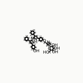 OCC1OC(n2cc(COc3ccc(C4=NC(=Nc5[nH]c(-c6ccc(O)cc6)cc5-c5ccccc5)C(c5ccccc5)=C4)cc3)nn2)C(O)C(O)C1O